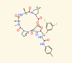 Cc1ccc(NC(=O)N[C@@H](Cc2cc(F)cc(F)c2)C(=O)N[C@@H]2C(=O)N3CCCC3C(=O)N(C)[C@@H](C)C(=O)N[C@@H](C)C(=O)N3C[C@@H](C)CC3C(=O)O[C@H]2C)cc1